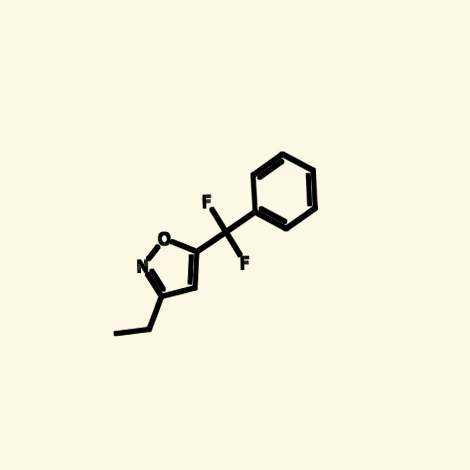 CCc1cc(C(F)(F)c2ccccc2)on1